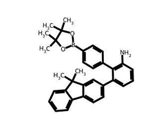 CC1(C)c2ccccc2-c2ccc(-c3cccc(N)c3-c3ccc(B4OC(C)(C)C(C)(C)O4)cc3)cc21